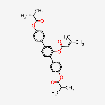 C=C(C)C(=O)Oc1ccc(-c2ccc(-c3ccc(OC(=O)C(=C)C)cc3)c(OC(=O)C=C(C)C)c2)cc1